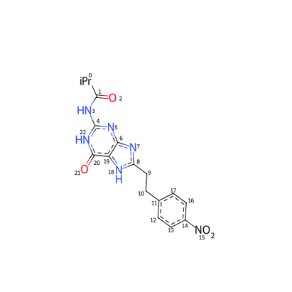 CC(C)C(=O)Nc1nc2nc(CCc3ccc([N+](=O)[O-])cc3)[nH]c2c(=O)[nH]1